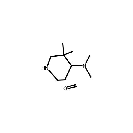 C=O.CN(C)C1CCNCC1(C)C